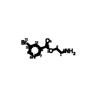 NCCOC(=O)c1cncc(Br)c1